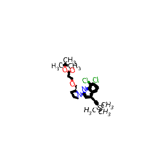 CC(C)(C)OC(=O)CCOC[C@@H]1CCCN1c1cc(C#C[Si](C)(C)C)c2ccc(Cl)c(Cl)c2n1